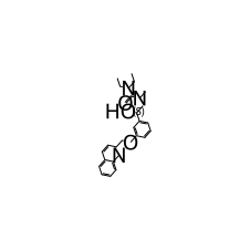 CCN(CC)C(=O)N(C)C[C@@H](O)c1cccc(OCc2ccc3ccccc3n2)c1